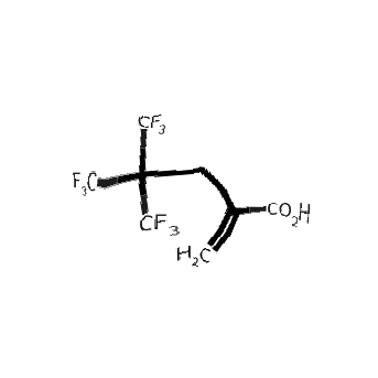 C=C(CC(C(F)(F)F)(C(F)(F)F)C(F)(F)F)C(=O)O